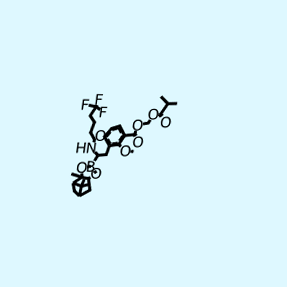 COc1c(CC(NC(=O)CCCC(F)(F)F)B2OC3CC4CC(C4(C)C)C3(C)O2)cccc1C(=O)OCOC(=O)C(C)C